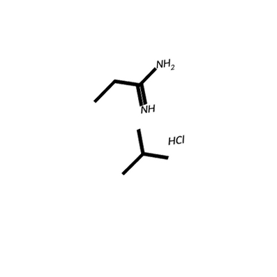 CC(C)C.CCC(=N)N.Cl